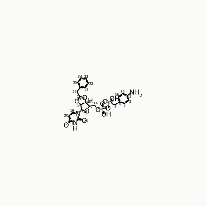 Nc1ccc(CP(=O)(O)OP(=O)(O)OC[C@H]2O[C@@H](n3ccc(=O)[nH]c3=O)C3OC(Cc4ccccc4)O[C@H]32)cc1